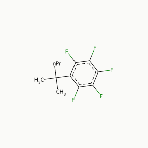 CCCC(C)(C)c1c(F)c(F)c(F)c(F)c1F